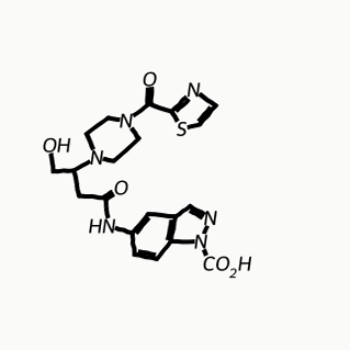 O=C(CC(CO)N1CCN(C(=O)c2nccs2)CC1)Nc1ccc2c(cnn2C(=O)O)c1